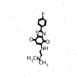 CN(C)CCNC1=CC(=O)c2sc(-c3ccc(F)cc3)nc2C1=O